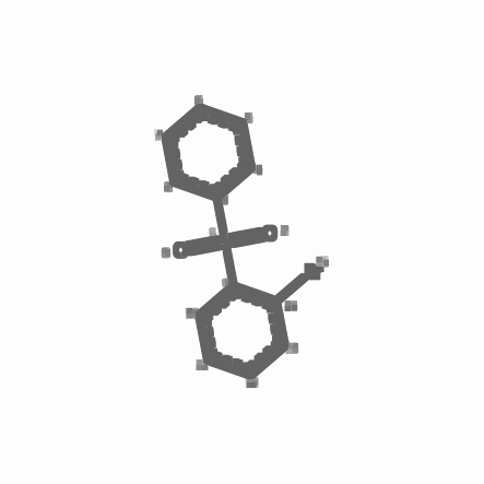 O=S(=O)(c1cc[c]cc1)c1ccccc1Br